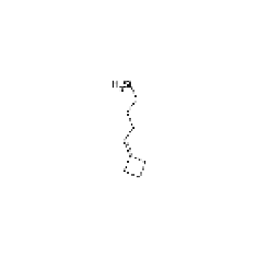 [SiH3]CCCC=C1CCC1